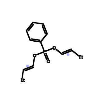 CC/C=C/OP(=O)(O/C=C/CC)c1ccccc1